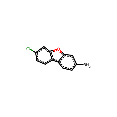 Bc1ccc2c(c1)oc1cc(Cl)ccc12